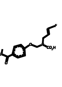 CN(C)C(=O)c1ccc(OCN(CC=CF)C(=O)O)cc1